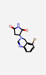 O=C1CC(N2C=Nc3cccc(Br)c3C2)C(=O)N1